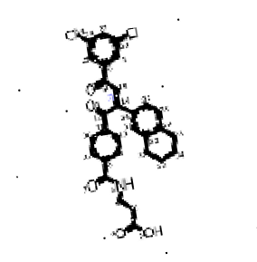 O=C(O)CCNC(=O)c1ccc(C(=O)/C(=C\C(=O)c2cc(Cl)cc(Cl)c2)c2ccc3c(c2)CCCC3)cc1